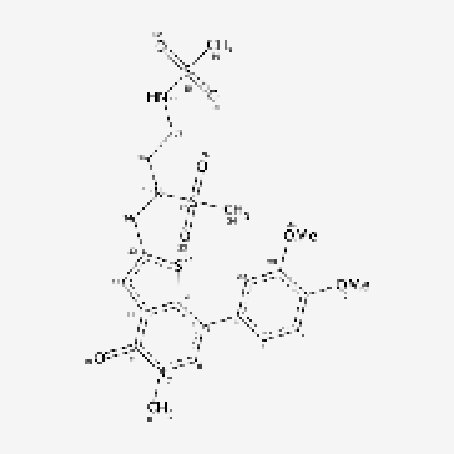 COc1ccc(-c2cn(C)c(=O)c3cc(CN(CCNS(C)(=O)=O)S(C)(=O)=O)sc23)cc1OC